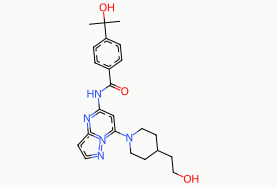 CC(C)(O)c1ccc(C(=O)Nc2cc(N3CCC(CCO)CC3)n3nccc3n2)cc1